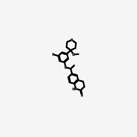 COC1(c2cc(F)cc(OC(C)c3ccc4c(c3)CCC(=S)N4)c2)CCOCC1